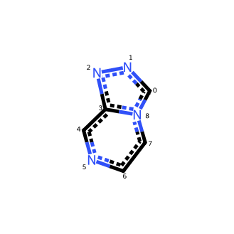 [c]1nnc2cnccn12